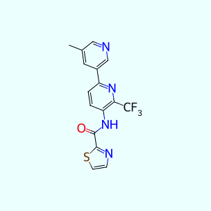 Cc1cncc(-c2ccc(NC(=O)c3nccs3)c(C(F)(F)F)n2)c1